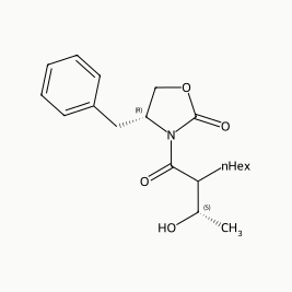 CCCCCCC(C(=O)N1C(=O)OC[C@H]1Cc1ccccc1)[C@H](C)O